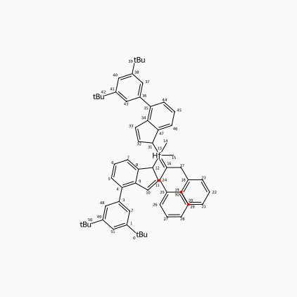 CC(C)(C)c1cc(-c2cccc3c2C=C[CH]3[Hf]([CH3])([CH3])(=[C](Cc2ccccc2)Cc2ccccc2)[CH]2C=Cc3c(-c4cc(C(C)(C)C)cc(C(C)(C)C)c4)cccc32)cc(C(C)(C)C)c1